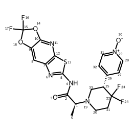 C[C@@H](C(=O)Nc1nc2cc3c(nc2s1)OC(F)(F)O3)N1CCC(F)(F)[C@@H](c2cc[n+]([O-])cc2)C1